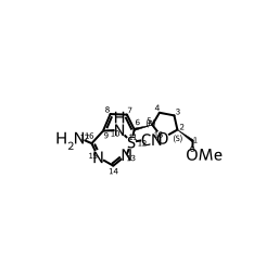 COC[C@@H]1CC[C@H](C2=CC=C3NS2(C#N)N=CN=C3N)O1